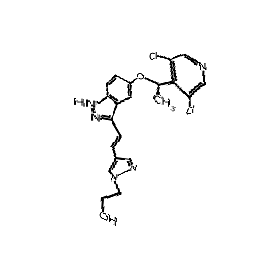 C[C@@H](Oc1ccc2[nH]nc(/C=C/c3cnn(CCO)c3)c2c1)c1c(Cl)cncc1Cl